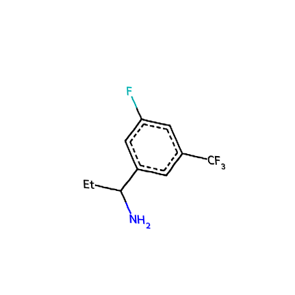 CCC(N)c1cc(F)cc(C(F)(F)F)c1